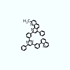 Cc1ccc2ccc3c(-c4ccccc4)cc(-c4cccc(-c5nc(-c6ccccc6)cc(-c6cccc(-c7cccc8cccnc78)c6)n5)c4)nc3c2n1